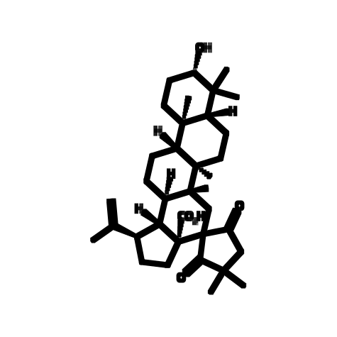 C=C(C)[C@@H]1CC[C@@]2(C(=O)O)[C@H]1[C@H]1CC[C@@H]3[C@@]4(C)CC[C@H](O)C(C)(C)[C@@H]4CC[C@@]3(C)[C@]1(C)CC21C(=O)CC(C)(C)C1=O